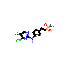 CCP(=O)(O)CCc1ccc(Nc2ncc(C(F)(F)F)c(Cl)n2)cc1